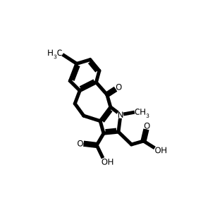 Cc1ccc2c(c1)CCc1c(C(=O)O)c(CC(=O)O)n(C)c1C2=O